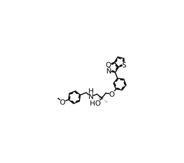 COc1ccc(CNC[C@](C)(O)COc2cccc(-c3noc4ccsc34)c2)cc1